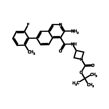 Cc1cccc(F)c1-c1ccc2c(C(=O)NC3CN(C(=O)OC(C)(C)C)C3)c(N)ncc2c1